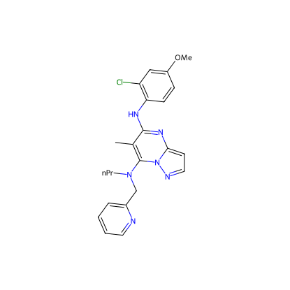 CCCN(Cc1ccccn1)c1c(C)c(Nc2ccc(OC)cc2Cl)nc2ccnn12